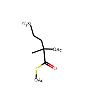 CC(=O)OSC(=O)C(C)(CC[SiH3])OC(C)=O